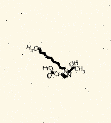 CC(=O)O.CCCCCCCCCCn1ccnc1C(C)O